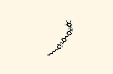 CCCCCCCCc1cnc(OCC2CCC(/C=C/C3CCC(C(F)(F)Oc4cc(F)c(F)c(F)c4)CC3)CC2)nc1